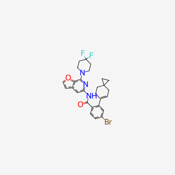 O=C(Nc1cc2ccoc2c(N2CCC(F)(F)CC2)n1)c1ccc(Br)cc1C1=CCC2(CC1)CC2